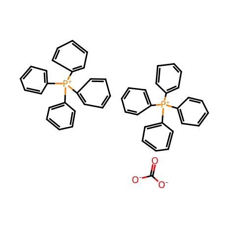 O=C([O-])[O-].c1ccc([P+](c2ccccc2)(c2ccccc2)c2ccccc2)cc1.c1ccc([P+](c2ccccc2)(c2ccccc2)c2ccccc2)cc1